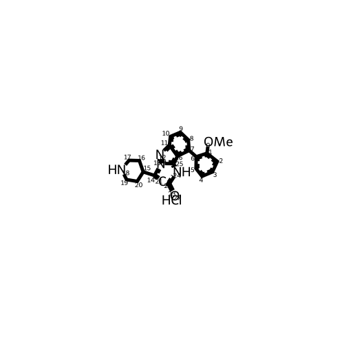 COc1ccccc1-c1cccc2nn3c(C4CCNCC4)cc(=O)[nH]c3c12.Cl